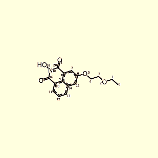 CCOCCOc1cc2c3c(cccc3c1)C(=O)N(O)C2=O